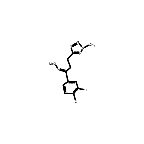 CON=C(CCc1nnn(C)n1)c1ccc(Cl)c(Cl)c1